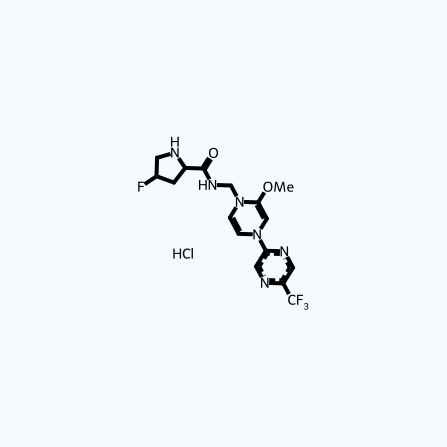 COC1=CN(c2cnc(C(F)(F)F)cn2)C=CN1CNC(=O)C1CC(F)CN1.Cl